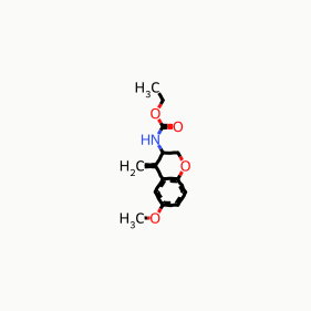 C=C1c2cc(OC)ccc2OCC1NC(=O)OCC